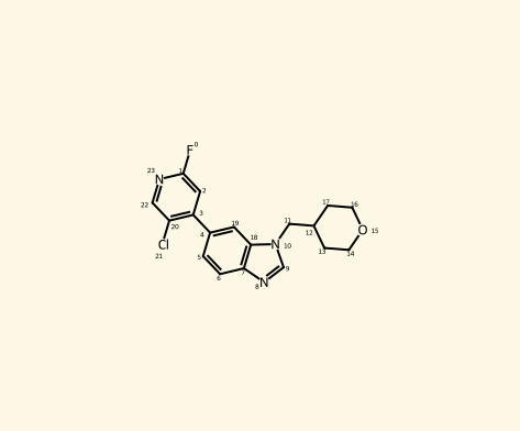 Fc1cc(-c2ccc3ncn(CC4CCOCC4)c3c2)c(Cl)cn1